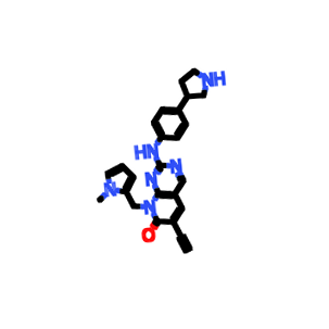 C#Cc1cc2cnc(Nc3ccc(C4CCNC4)cc3)nc2n(Cc2cccn2C)c1=O